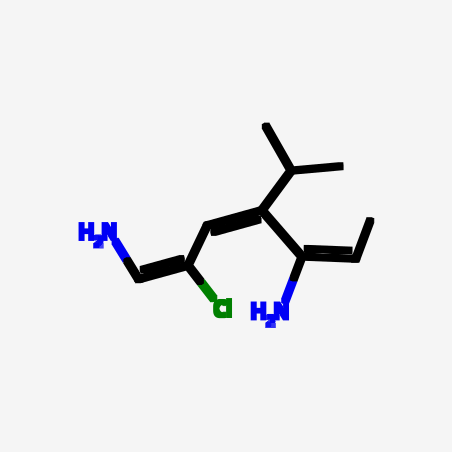 C\C=C(N)/C(=C\C(Cl)=C/N)C(C)C